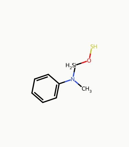 CN([SiH2]OS)c1ccccc1